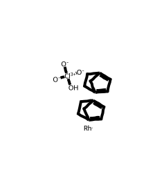 C1=C2CCC(=C1)C2.C1=C2CCC(=C1)C2.[O-][Cl+3]([O-])([O-])O.[Rh]